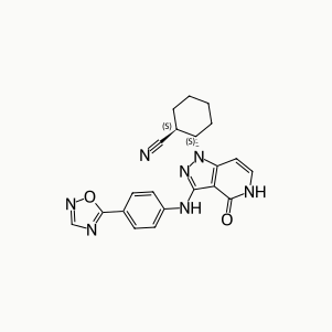 N#C[C@H]1CCCC[C@@H]1n1nc(Nc2ccc(-c3ncno3)cc2)c2c(=O)[nH]ccc21